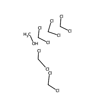 CO.ClCCl.ClCCl.ClCCl.ClCCl.ClCCl